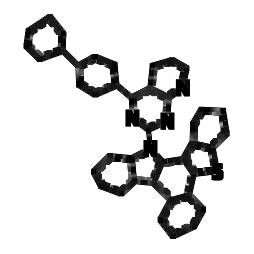 c1ccc(-c2ccc(-c3nc(-n4c5ccccc5c5c6ccccc6c6sc7ccccc7c6c54)nc4ncccc34)cc2)cc1